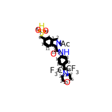 CC(=O)N1Cc2cc(C[SH](=O)=O)ccc2C1C(=O)Nc1ccc(C(N2CCOCC2)(C(F)(F)F)C(F)(F)F)cc1